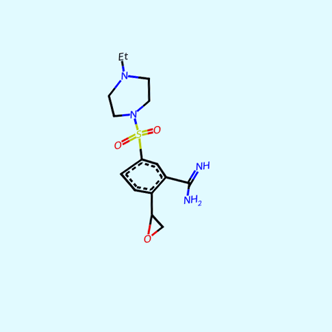 CCN1CCN(S(=O)(=O)c2ccc(C3CO3)c(C(=N)N)c2)CC1